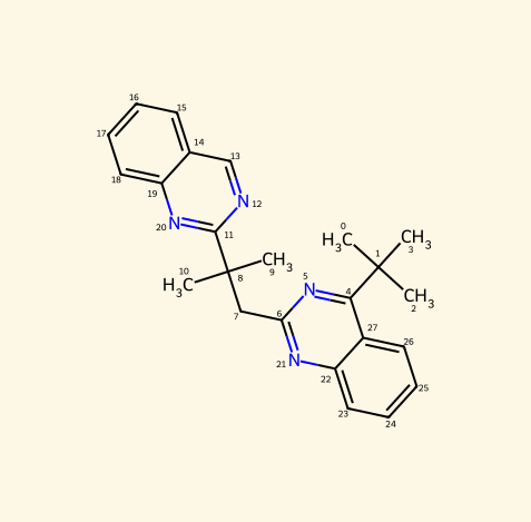 CC(C)(C)c1nc(CC(C)(C)c2ncc3ccccc3n2)nc2ccccc12